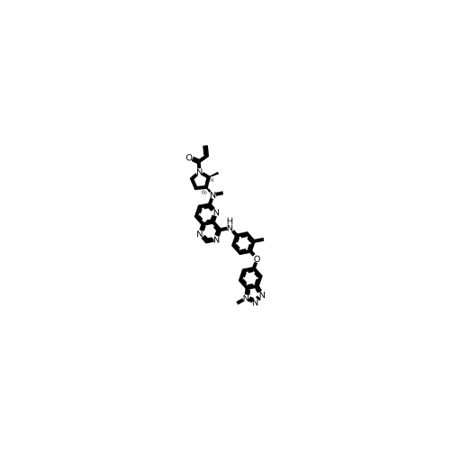 C=CC(=O)N1CC[C@H](N(C)c2ccc3ncnc(Nc4ccc(Oc5ccc6c(c5)nnn6C)c(C)c4)c3n2)[C@@H]1C